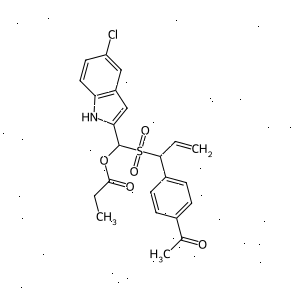 C=CC(c1ccc(C(C)=O)cc1)S(=O)(=O)C(OC(=O)CC)c1cc2cc(Cl)ccc2[nH]1